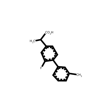 Cc1cccc(-c2ccc(C(C)C(=O)O)cc2F)c1